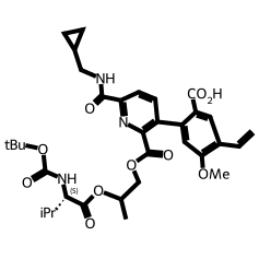 C=Cc1cc(C(=O)O)c(-c2ccc(C(=O)NCC3CC3)nc2C(=O)OCC(C)OC(=O)[C@@H](NC(=O)OC(C)(C)C)C(C)C)cc1OC